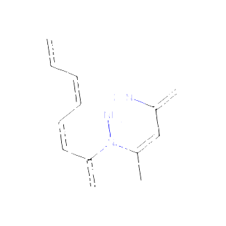 C=C/C=C\C=C/C(=C)N(N)/C(C)=C\C(=C)N